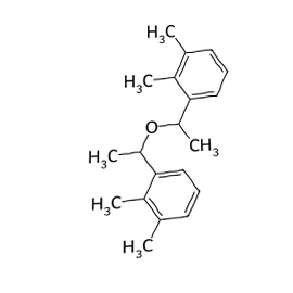 Cc1cccc(C(C)OC(C)c2cccc(C)c2C)c1C